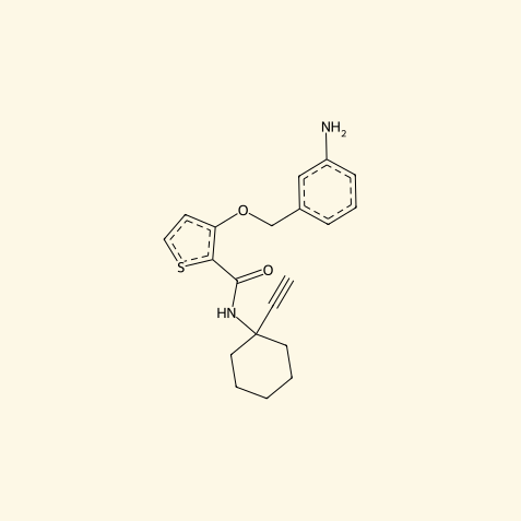 C#CC1(NC(=O)c2sccc2OCc2cccc(N)c2)CCCCC1